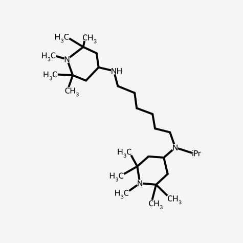 CC(C)N(CCCCCCNC1CC(C)(C)N(C)C(C)(C)C1)C1CC(C)(C)N(C)C(C)(C)C1